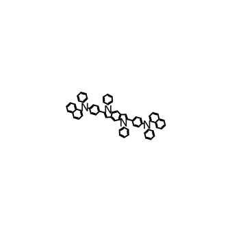 c1ccc(N(c2ccc(-c3cc4cc5c(cc(-c6ccc(N(c7ccccc7)c7cccc8ccccc78)cc6)n5-c5ccccc5)cc4n3-c3ccccc3)cc2)c2cccc3ccccc23)cc1